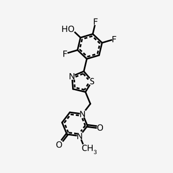 Cn1c(=O)ccn(Cc2cnc(-c3cc(F)c(F)c(O)c3F)s2)c1=O